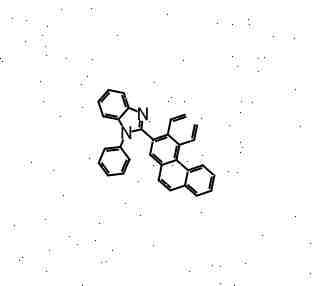 C=Cc1c(-c2nc3ccccc3n2-c2ccccc2)cc2ccc3ccccc3c2c1C=C